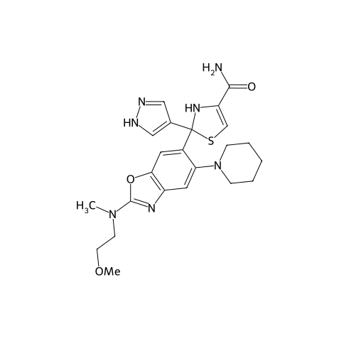 COCCN(C)c1nc2cc(N3CCCCC3)c(C3(c4cn[nH]c4)NC(C(N)=O)=CS3)cc2o1